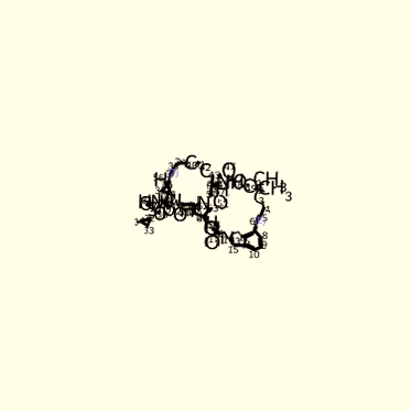 CC1(C)CC/C=C/c2cccc3c2CN(C3)C(=O)O[C@@H]2C[C@H]3C(=O)N[C@]4(C(=O)NS(=O)(=O)C5CC5)C[C@H]4/C=C\CCCCC[C@H](NC(=O)OC1)C(=O)N3C2